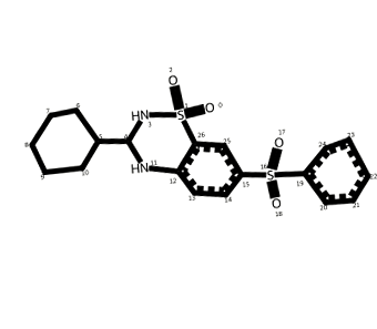 O=S1(=O)NC(C2CCCCC2)Nc2ccc(S(=O)(=O)c3ccccc3)cc21